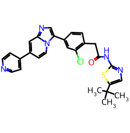 CC(C)(C)c1cnc(NC(=O)Cc2ccc(-c3cnc4cc(-c5ccncc5)ccn34)cc2Cl)s1